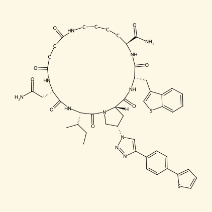 CCC(C)[C@@H]1NC(=O)[C@H](CC(N)=O)NC(=O)CCC(=O)NCCCC[C@@H](C(N)=O)NC(=O)[C@H](Cc2csc3ccccc23)NC(=O)[C@@H]2C[C@H](n3cc(-c4ccc(-c5cccs5)cc4)nn3)CN2C1=O